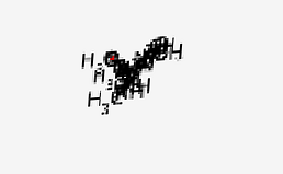 CCNC(=O)Nc1nc2cc(-c3cnc(N4CCC(C)(C(=O)O)CC4)nc3)cc(/C(C)=N/OCCOC)c2s1